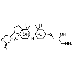 C[C@]12CC[C@H](SCC(O)CN)C[C@H]1CC[C@@H]1[C@@H]2CC[C@]2(C)[C@@H](C3=CC(=O)OC3)CC[C@]12O